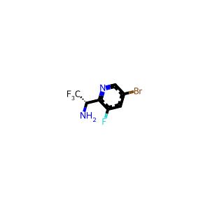 N[C@@H](c1ncc(Br)cc1F)C(F)(F)F